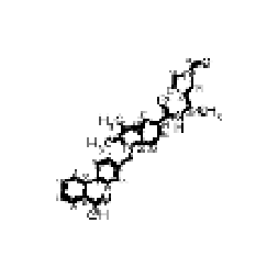 Cc1c(C)n(Cc2ccc(-c3ccccc3C(=O)O)cc2)c2ccc(C(=O)N[C@@H](C)[C@@H]3CCN(C=O)C3)cc12